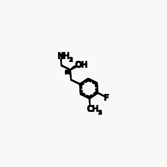 Cc1cc(C[C@H](O)CN)ccc1F